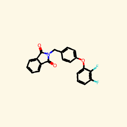 O=C1c2ccccc2C(=O)N1Cc1ccc(Oc2cccc(F)c2F)cc1